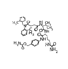 Cc1ccccc1CN(C(=O)CCC(=O)NC(C(=O)NC(CCCNC(N)=O)C(=O)Nc1ccc(COC(N)=O)cc1)C(C)C)c1ccccc1C